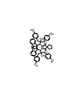 COc1ccc(CC(O)(Cc2ccc(OC)cc2)[C@@H](NC(=O)C2(C(=O)N[C@@H](c3cccc4ccccc34)C(O)(Cc3ccc(OC)cc3)Cc3ccc(OC)cc3)CCCC2)c2cccc3ccccc23)cc1